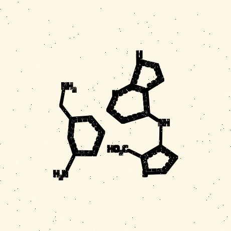 NCc1cccc(N)c1.O=C(O)c1sccc1Nc1ccnc2[nH]ccc12